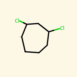 ClC1[CH]CCCC(Cl)C1